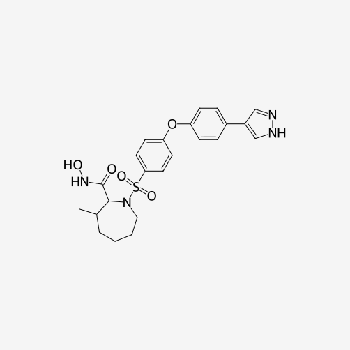 CC1CCCCN(S(=O)(=O)c2ccc(Oc3ccc(-c4cn[nH]c4)cc3)cc2)C1C(=O)NO